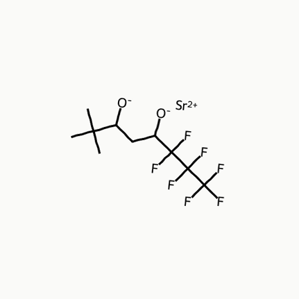 CC(C)(C)C([O-])CC([O-])C(F)(F)C(F)(F)C(F)(F)F.[Sr+2]